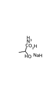 CC(O)C(=O)O.N.[NaH]